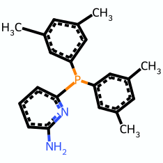 Cc1cc(C)cc(P(c2cc(C)cc(C)c2)c2cccc(N)n2)c1